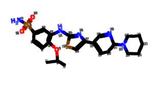 CC(C)Oc1ccc(S(N)(=O)=O)cc1Nc1nc(C2=CCC(N3CCCCC3)N=C2)cs1